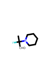 CC(F)(C=O)N1CCCCC1